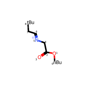 CCCCOC(=O)C/N=C/CC(C)(C)C